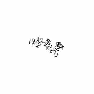 CCC(C)(CC(C#N)C1C(=O)N(c2ccccc2)C(=O)C1CC(C)(C)C(=O)O)C(=O)OCCNC(=O)NC(C)(C)C